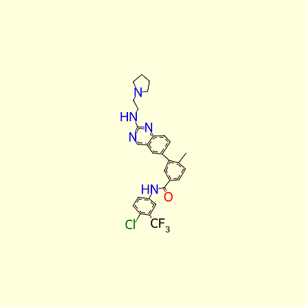 Cc1ccc(C(=O)Nc2ccc(Cl)c(C(F)(F)F)c2)cc1-c1ccc2nc(NCCN3CCCC3)ncc2c1